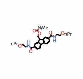 CCCOCCNC(=O)c1ccc2c(c1)C(COC(=O)NC)c1cc(C(=O)NCCOCCC)ccc1-2